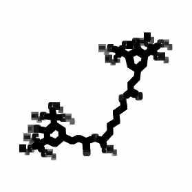 CC(CCCCCOC(=O)CCc1cc(C(C)(C)C)c(O)c(C(C)(C)C)c1)OC(=O)CCc1cc(C(C)(C)C)c(O)c(C(C)(C)C)c1